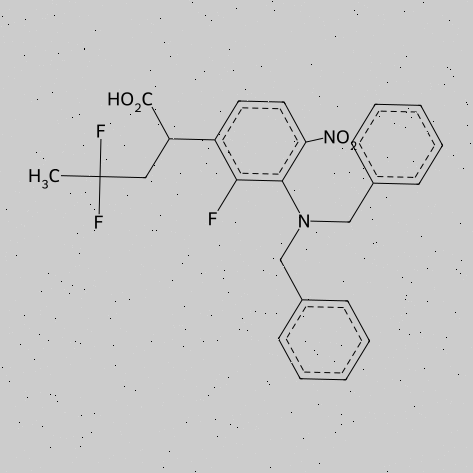 CC(F)(F)CC(C(=O)O)c1ccc([N+](=O)[O-])c(N(Cc2ccccc2)Cc2ccccc2)c1F